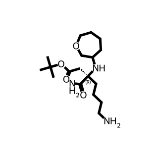 CC(C)(C)OC(=O)C[C@@](CCCCN)(NC1CCCCOC1)C(N)=O